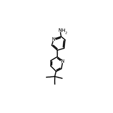 CC(C)(C)c1ccc(-c2ccc(N)nc2)nc1